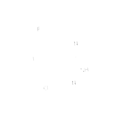 Fc1cnc2[nH]nc(Cl)c2c1I